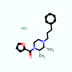 C[C@@H]1[C@H](C)N(C(=O)c2ccco2)CCN1CCCc1ccccc1.Cl